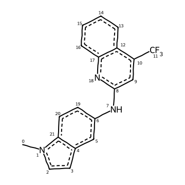 Cn1ccc2cc(Nc3cc(C(F)(F)F)c4ccccc4n3)ccc21